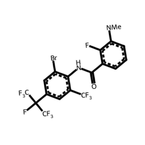 CNc1cccc(C(=O)Nc2c(Br)cc(C(F)(C(F)(F)F)C(F)(F)F)cc2C(F)(F)F)c1F